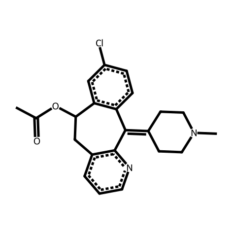 CC(=O)OC1Cc2cccnc2C(=C2CCN(C)CC2)c2ccc(Cl)cc21